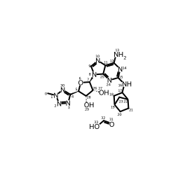 Cn1nnc([C@H]2O[C@@H](n3cnc4c(N)nc(NC5CC6CCC5C6)nc43)[C@H](O)[C@@H]2O)n1.O=CO